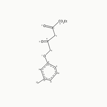 CCOC(=O)C(=O)CC(=O)COc1cccc(C)c1